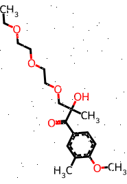 CCOCCOCCOCC(C)(O)C(=O)c1ccc(OC)c(C)c1